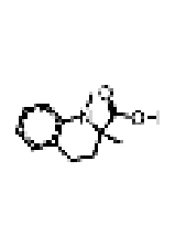 CN1c2ccccc2CCC1(C)C(=O)O